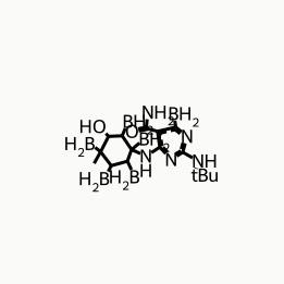 Bc1nc(NC(C)(C)C)nc(NC2(B)C(B)C(B)C(B)(C)C(O)C2B)c1C(N)=O